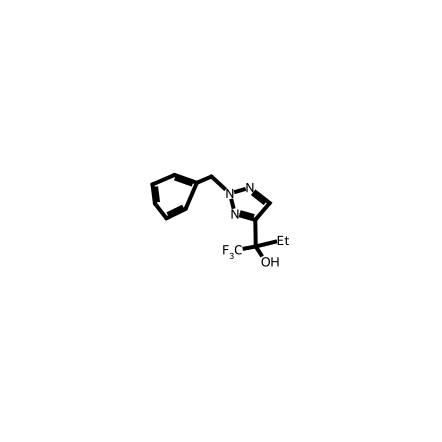 CCC(O)(c1cnn(Cc2ccccc2)n1)C(F)(F)F